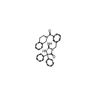 N=C1NC(c2ccccc2)(c2ccccc2)C(=O)N1Cc1cccc(C(=O)N2CCc3ccccc3C2)c1